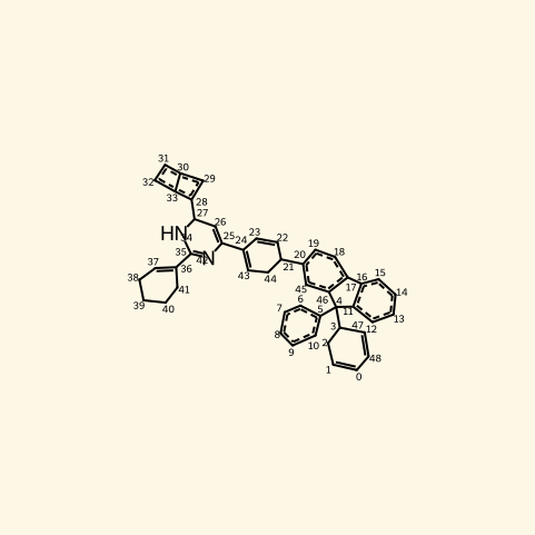 C1=CCC(C2(c3ccccc3)c3ccccc3-c3ccc(C4C=CC(C5=CC(c6cc7ccc6-7)NC(C6=CCCCC6)=N5)=CC4)cc32)C=C1